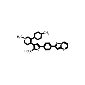 CC1CCC(C2=C(c3cc(-c4ccc(-c5cc6ncccn6n5)cc4)sc3C(=O)O)CCN(C)C2)CC1